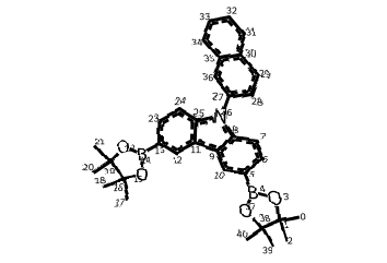 CC1(C)OB(c2ccc3c(c2)c2cc(B4OC(C)(C)C(C)(C)O4)ccc2n3-c2ccc3ccccc3c2)OC1(C)C